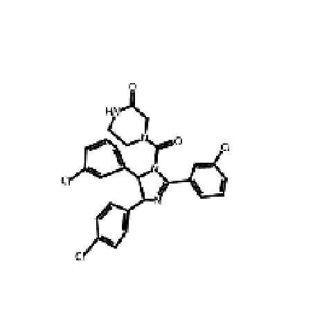 O=C1CN(C(=O)N2C(c3cccc(Cl)c3)=NC(c3ccc(Cl)cc3)C2c2cccc(Cl)c2)CCN1